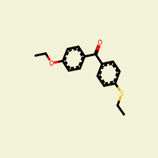 CCOc1ccc(C(=O)c2ccc(SCC)cc2)cc1